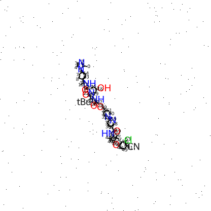 Cc1nccn1-c1ccc([C@H](C)NC(=O)[C@@H]2C[C@@H](O)CN2C(=O)[C@@H](NC(=O)COCC2CCN(c3ccc(C(=O)N[C@H]4C(C)(C)[C@H](Oc5ccc(C#N)c(Cl)c5)C4(C)C)cn3)CC2)C(C)(C)C)cc1